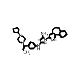 C/C=C(\c1ccc(Nc2nc(N)n(-c3cc4c(nn3)-c3ccccc3CCC4)n2)cc1)N1CCN(C2CCCC2)CC1